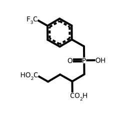 O=C(O)CCC(CP(=O)(O)Cc1ccc(C(F)(F)F)cc1)C(=O)O